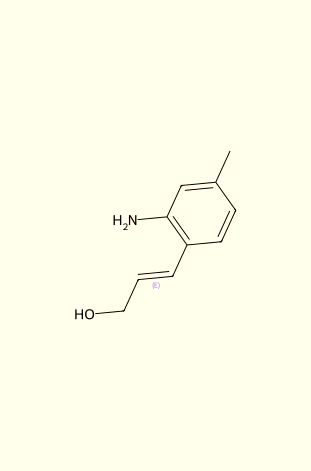 Cc1ccc(/C=C/CO)c(N)c1